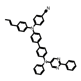 C/C=C/c1ccc(N(c2ccc(C#N)cc2)c2ccc(-c3ccc(N(c4ccccc4)c4cnc(-c5ccccc5)nc4)cc3)cc2)cc1